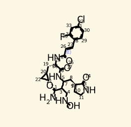 NC(=O)C(CNO)C(C[C@@H]1CCNC1=O)NC(=O)[C@H](CC1CC1)NC(=O)/C=C/c1ccc(Cl)cc1F